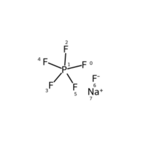 FP(F)(F)(F)F.[F-].[Na+]